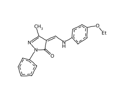 CCOc1ccc(NC=C2C(=O)N(c3ccccc3)N=C2C)cc1